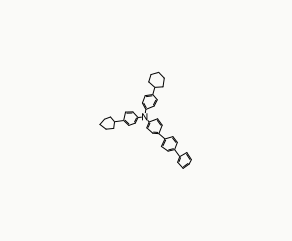 c1ccc(-c2ccc(-c3ccc(N(c4ccc(C5CCCCC5)cc4)c4ccc(C5CCCCC5)cc4)cc3)cc2)cc1